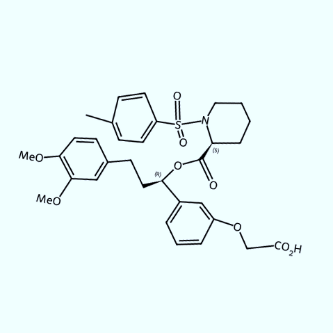 COc1ccc(CC[C@@H](OC(=O)[C@@H]2CCCCN2S(=O)(=O)c2ccc(C)cc2)c2cccc(OCC(=O)O)c2)cc1OC